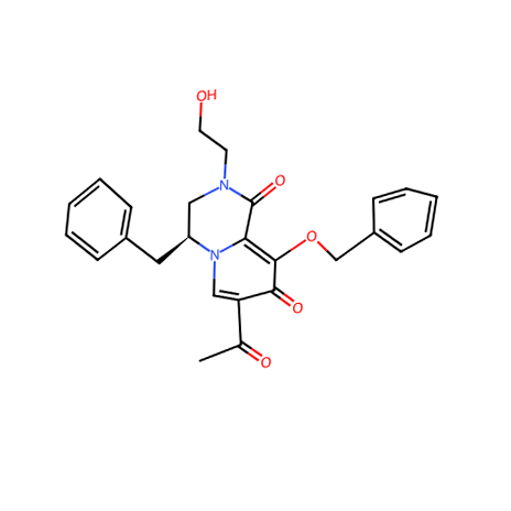 CC(=O)c1cn2c(c(OCc3ccccc3)c1=O)C(=O)N(CCO)C[C@@H]2Cc1ccccc1